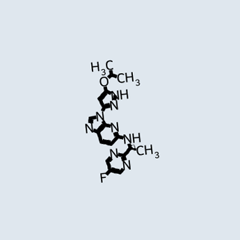 CC(C)Oc1cc(-n2cnc3ccc(N[C@@H](C)c4ncc(F)cn4)nc32)n[nH]1